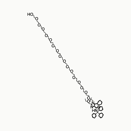 CCOCc1nc2c(NC(c3ccccc3)(c3ccccc3)c3ccccc3)nc3ccccc3c2n1CC(C)(C)OCCOCCOCCOCCOCCOCCOCCOCCOCCOCCOCCOCCOCCOCCOCCOCCO